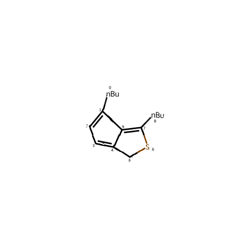 CCCCC1=CC=C2[CH]SC(CCCC)=C21